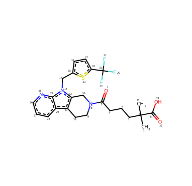 CC(C)(CCCC(=O)N1CCc2c(n(Cc3ccc(C(F)(F)F)s3)c3ncccc23)C1)C(=O)O